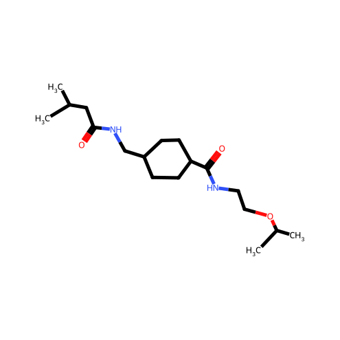 CC(C)CC(=O)NCC1CCC(C(=O)NCCOC(C)C)CC1